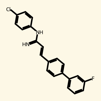 N=C(/C=C/c1ccc(-c2cccc(F)c2)cc1)Nc1ccc(Cl)cc1